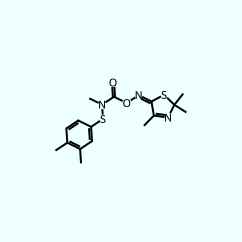 CC1=NC(C)(C)SC1=NOC(=O)N(C)Sc1ccc(C)c(C)c1